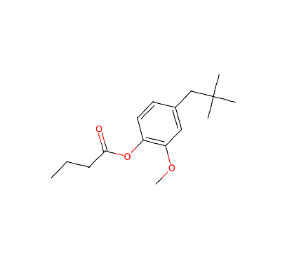 CCCC(=O)Oc1ccc(CC(C)(C)C)cc1OC